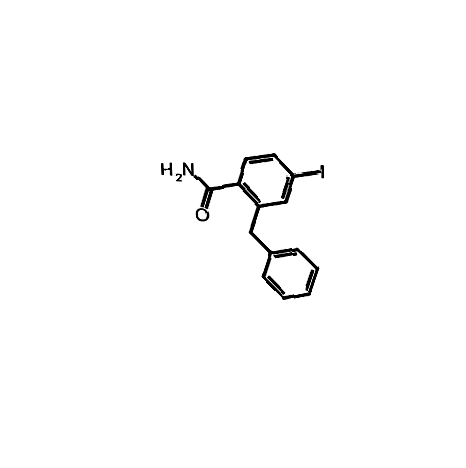 NC(=O)c1ccc(I)cc1Cc1ccccc1